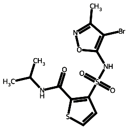 Cc1noc(NS(=O)(=O)c2ccsc2C(=O)NC(C)C)c1Br